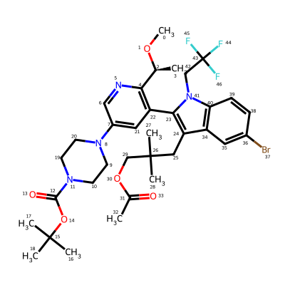 CO[C@@H](C)c1ncc(N2CCN(C(=O)OC(C)(C)C)CC2)cc1-c1c(CC(C)(C)COC(C)=O)c2cc(Br)ccc2n1CC(F)(F)F